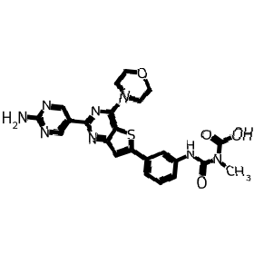 CN(C(=O)O)C(=O)Nc1cccc(-c2cc3nc(-c4cnc(N)nc4)nc(N4CCOCC4)c3s2)c1